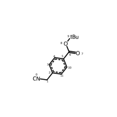 [C-]#[N+]Cc1ccc(C(=O)OC(C)(C)C)cc1